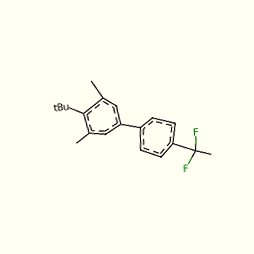 Cc1cc(-c2ccc(C(C)(F)F)cc2)cc(C)c1C(C)(C)C